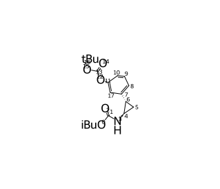 CC(C)COC(=O)N[C@@H]1C[C@H]1c1cccc(OC(=O)OC(C)(C)C)c1